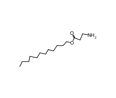 CCCCCCCCCCCCOC(=O)CCN